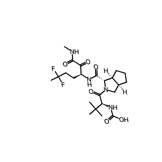 CNC(=O)C(=O)[C@H](CCC(C)(F)F)NC(=O)[C@@H]1[C@H]2CCC[C@H]2CN1C(=O)[C@@H](NC(=O)O)C(C)(C)C